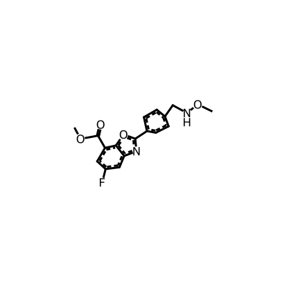 CONCc1ccc(-c2nc3cc(F)cc(C(=O)OC)c3o2)cc1